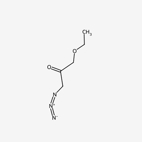 CCOCC(=O)CN=[N+]=[N-]